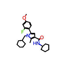 COc1ccc(-c2cc(C(=O)NC3CCCCC3)c(C)n2CC2CCCCC2)c(F)c1